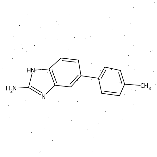 Cc1ccc(-c2ccc3[nH]c(N)nc3c2)cc1